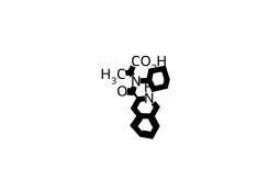 CC(C(=O)O)N(C(=O)[C@@H]1Cc2ccccc2CN1)C1CCCCC1